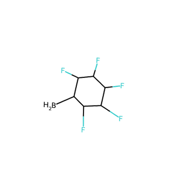 BC1C(F)C(F)C(F)C(F)C1F